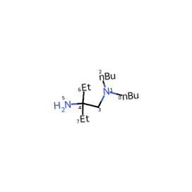 CCCCN(CCCC)CC(N)(CC)CC